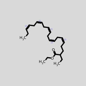 CC/C=C\C/C=C\C/C=C\C/C=C\C/C=C\CCC(CC)C(=O)OCC